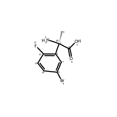 C[C@](N)(C(=O)O)c1cc(Br)ccc1F